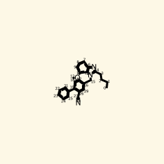 CCCCc1nc2cccc(OC)c2n1Cc1ccc(-c2ccccc2)c(C#N)c1